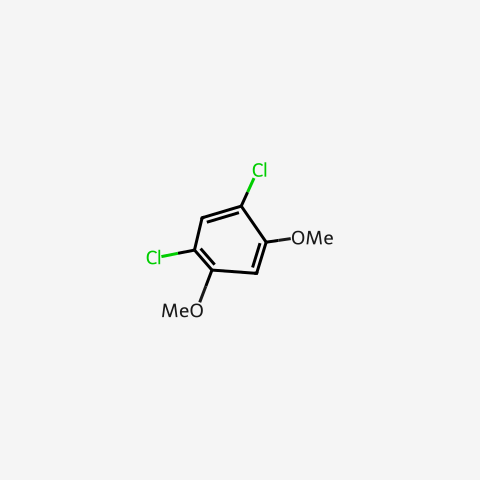 COc1cc(OC)c(Cl)cc1Cl